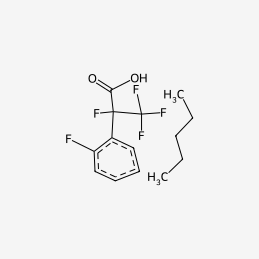 CCCCC.O=C(O)C(F)(c1ccccc1F)C(F)(F)F